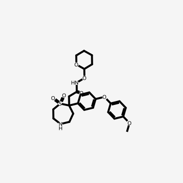 COc1ccc(Oc2ccc(C3(CC(=O)NOC4CCCCO4)CCNCCS3(=O)=O)cc2)cc1